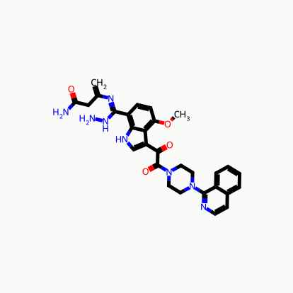 C=C(CC(N)=O)/N=C(\NN)c1ccc(OC)c2c(C(=O)C(=O)N3CCN(c4nccc5ccccc45)CC3)c[nH]c12